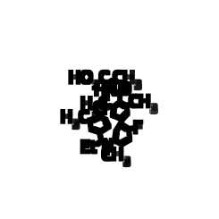 CCC(c1ccc(Cl)c(C)c1)N(C)c1ccc(F)c(-c2cc(C)c(C(=O)NC(C)C(=O)O)c(C)c2)c1